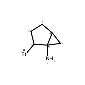 CCC1CCC2CC12N